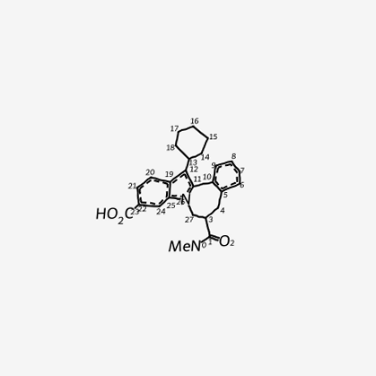 CNC(=O)C1Cc2ccccc2-c2c(C3CCCCC3)c3ccc(C(=O)O)cc3n2C1